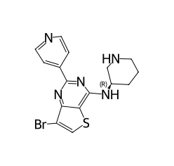 Brc1csc2c(N[C@@H]3CCCNC3)nc(-c3ccncc3)nc12